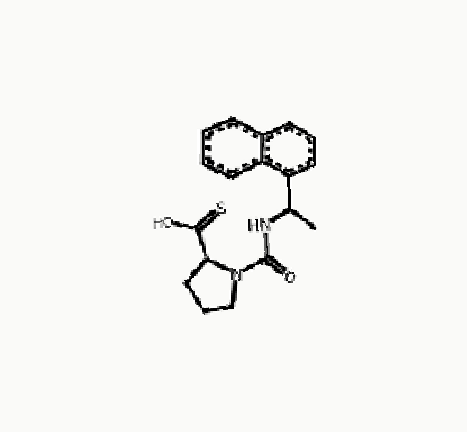 CC(NC(=O)N1CCC[C@H]1C(O)=S)c1cccc2ccccc12